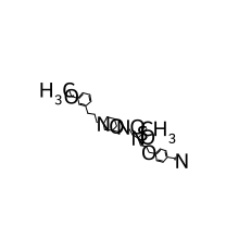 COc1cccc(CCCN2CC3CN(CCN(CCOc4ccc(C#N)cc4)S(C)(=O)=O)CC(C2)O3)c1